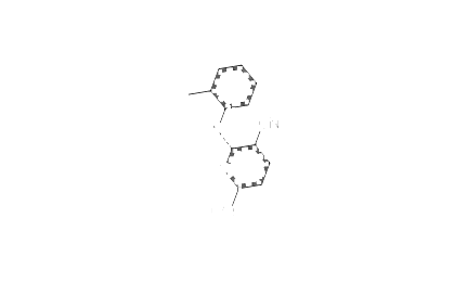 Cc1ccccc1Nc1nc(C(C)(C)C)ccc1C#N